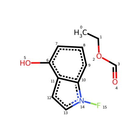 CCOC=O.Oc1cccc2c1ccn2F